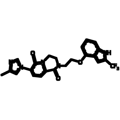 Cc1cn(-c2ccc3n(c2=O)CCN(CCOc2cccc4[nH]c(C(F)(F)F)cc24)C3=O)cn1